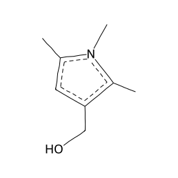 Cc1cc(CO)c(C)n1C